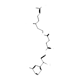 CC(C)=CCCC(C)CCOC(=O)CCC(=O)OC=CC(C)c1cccc(C(C)C)c1